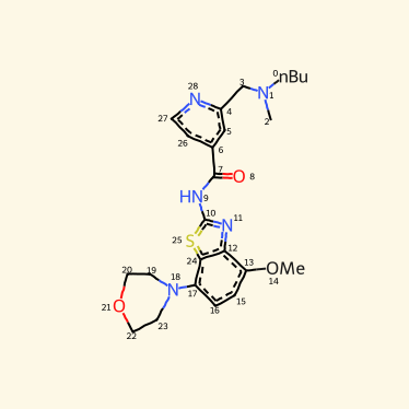 CCCCN(C)Cc1cc(C(=O)Nc2nc3c(OC)ccc(N4CCOCC4)c3s2)ccn1